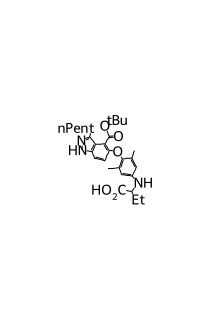 CCCCCc1n[nH]c2ccc(Oc3c(C)cc(NC(CC)C(=O)O)cc3C)c(C(=O)OC(C)(C)C)c12